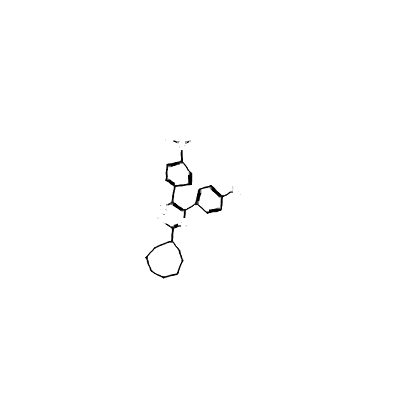 CN(C)c1ccc(-c2nnc(C3CCCCCCC3)nc2-c2ccc(N(C)C)cc2)cc1